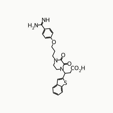 N=C(N)c1ccc(OCCCN2CCN(C(CC(=O)O)c3cc4ccccc4s3)C(=O)C2=O)cc1